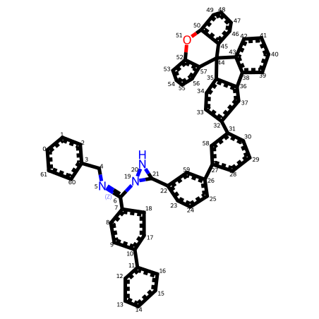 c1ccc(C/N=C(/c2ccc(-c3ccccc3)cc2)N2NC2c2cccc(-c3cccc(-c4ccc5c(c4)-c4ccccc4C54c5ccccc5Oc5ccccc54)c3)c2)cc1